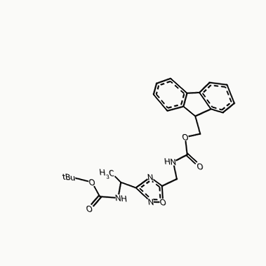 CC(NC(=O)OC(C)(C)C)c1noc(CNC(=O)OCC2c3ccccc3-c3ccccc32)n1